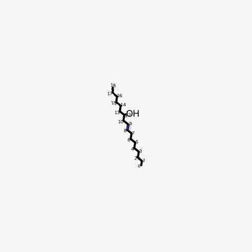 CCCCCCCC/C=C/CC(O)CCCCCC